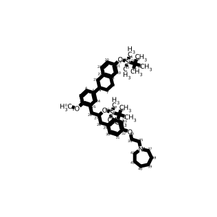 COc1c[c]c(C2CCc3cc(O[Si](C)(C)C(C)(C)C)ccc3C2)cc1CC(Cc1ccc(OCCN2CCCCCC2)cc1)O[Si](C)(C)C(C)(C)C